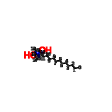 CCCCCCCCCCCCC(O)[N+](O)(CC)CC